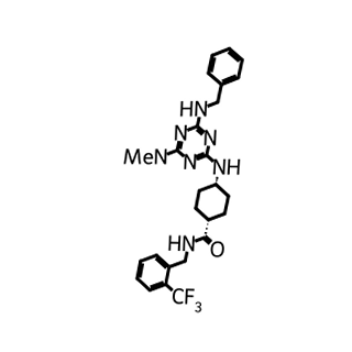 CNc1nc(NCc2ccccc2)nc(N[C@H]2CC[C@@H](C(=O)NCc3ccccc3C(F)(F)F)CC2)n1